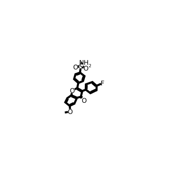 COc1ccc2oc(-c3ccc(S(N)(=O)=O)cc3)c(-c3ccc(F)cc3)c(=O)c2c1